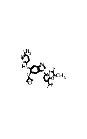 Cc1ccc(Nc2cc3ncn(-c4ccc(C(F)F)c(O[C@H](C)C(F)F)n4)c3cc2OC2COC2)nn1